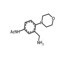 CC(=O)Nc1ccc(N2CCOCC2)c(CN)c1